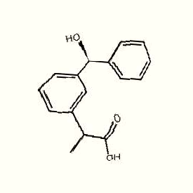 CC(C(=O)O)c1cccc([C@@H](O)c2ccccc2)c1